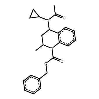 CC(=O)N(C1CC1)C1CC(C)N(C(=O)OCc2ccccc2)c2ccccc21